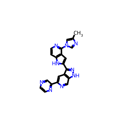 Cc1cn(-c2nccc3[nH]c(-c4n[nH]c5cnc(-c6cnccn6)cc45)cc23)cn1